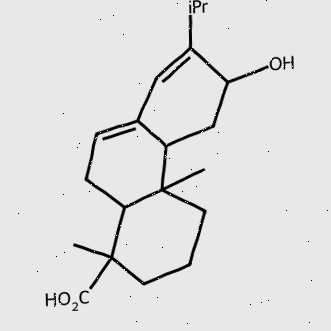 CC(C)C1=CC2=CCC3C(C)(C(=O)O)CCCC3(C)C2CC1O